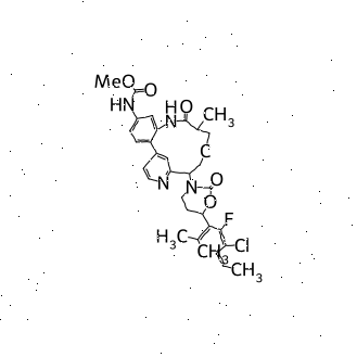 C/C=C\C(Cl)=C(\F)C(=C(C)C)C1CCN(C2CCCC(C)C(=O)Nc3cc(NC(=O)OC)ccc3-c3ccnc2c3)C(=O)O1